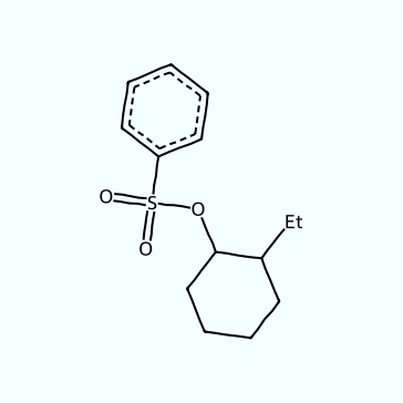 CCC1CCCCC1OS(=O)(=O)c1ccccc1